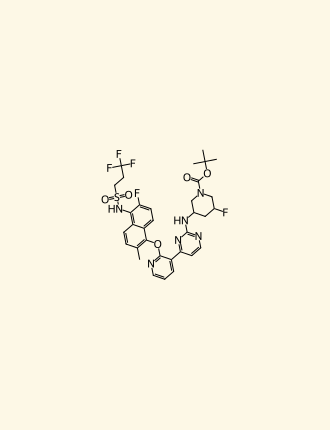 Cc1ccc2c(NS(=O)(=O)CCC(F)(F)F)c(F)ccc2c1Oc1ncccc1-c1ccnc(NC2CC(F)CN(C(=O)OC(C)(C)C)C2)n1